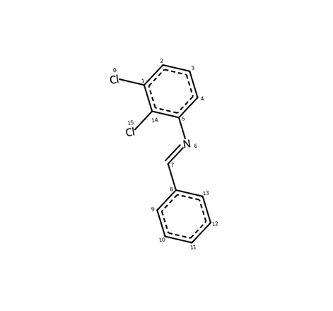 Clc1cccc(N=Cc2ccccc2)c1Cl